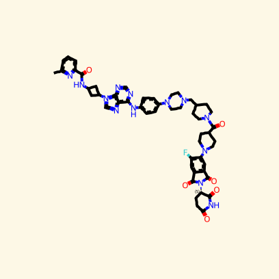 Cc1cccc(C(=O)NC2CC(n3cnc4c(Nc5ccc(N6CCN(CC7CCN(C(=O)C8CCN(c9cc%10c(cc9F)C(=O)N([C@H]9CCC(=O)NC9=O)C%10=O)CC8)CC7)CC6)cc5)ncnc43)C2)n1